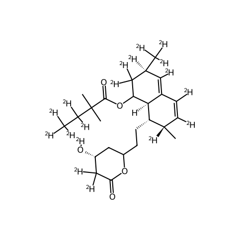 [2H]O[C@@H]1CC(CC[C@@H]2[C@@H]3C(=C([2H])[C@]([2H])(C([2H])([2H])[2H])C([2H])([2H])C3OC(=O)C(C)(C)C([2H])([2H])C([2H])([2H])[2H])C([2H])=C([2H])[C@]2([2H])C)OC(=O)C1([2H])[2H]